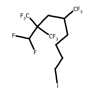 FC(F)C(CC(CCCCI)C(F)(F)F)(C(F)(F)F)C(F)(F)F